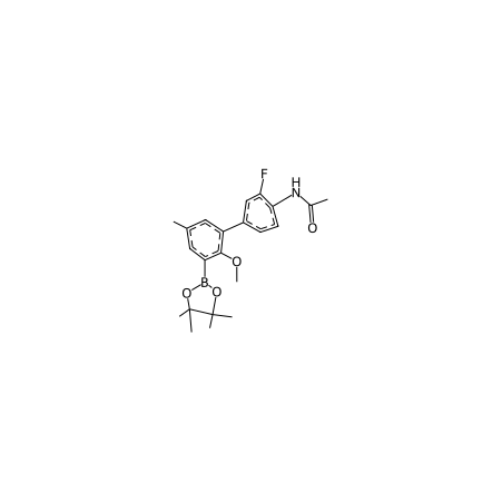 COc1c(B2OC(C)(C)C(C)(C)O2)cc(C)cc1-c1ccc(NC(C)=O)c(F)c1